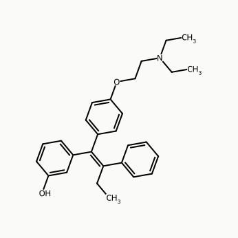 CCC(=C(c1ccc(OCCN(CC)CC)cc1)c1cccc(O)c1)c1ccccc1